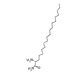 CCCCCCCCCCCCCCCCCCC(N)C(N)=O